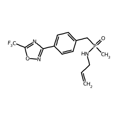 C=CCNP(C)(=O)Cc1ccc(-c2noc(C(F)(F)F)n2)cc1